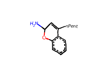 CCCCCC1=CC(N)Oc2ccccc21